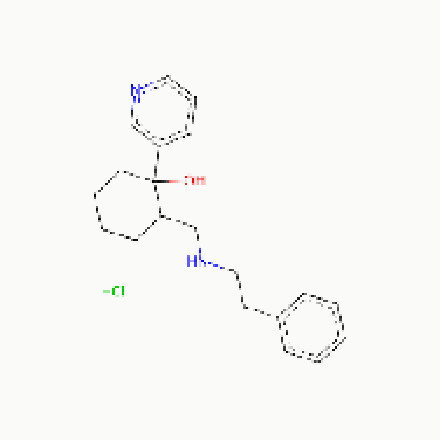 Cl.OC1(c2cccnc2)CCCCC1CNCCc1ccccc1